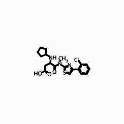 CN(C(=O)C(CC(=O)O)NC1CCCC1)c1nc(-c2ccccc2Cl)cs1